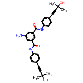 CC(C)(O)C#Cc1ccc(NC(=O)c2cc(N)cc(C(=O)Nc3ccc(C#CC(C)(C)O)cc3)c2)cc1